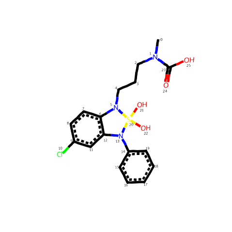 CN(CCCN1c2ccc(Cl)cc2N(c2ccccc2)S1(O)O)C(=O)O